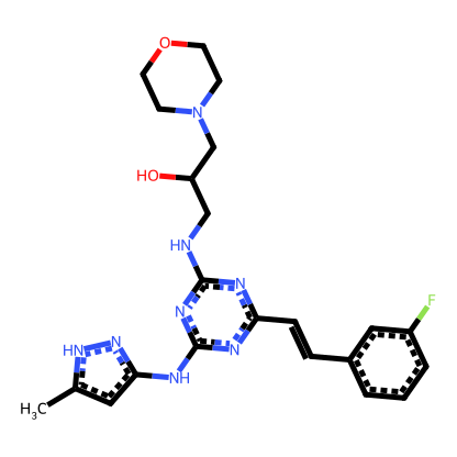 Cc1cc(Nc2nc(/C=C/c3cccc(F)c3)nc(NCC(O)CN3CCOCC3)n2)n[nH]1